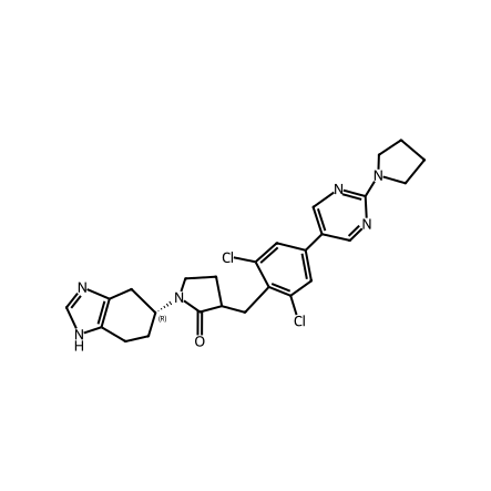 O=C1C(Cc2c(Cl)cc(-c3cnc(N4CCCC4)nc3)cc2Cl)CCN1[C@@H]1CCc2[nH]cnc2C1